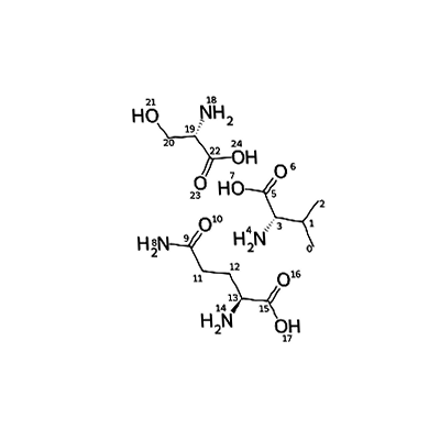 CC(C)[C@H](N)C(=O)O.NC(=O)CC[C@H](N)C(=O)O.N[C@@H](CO)C(=O)O